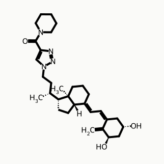 C=C1/C(=C\C=C2CCC[C@]3(C)[C@@H]([C@H](C)CCn4cc(C(=O)N5CCCCC5)nn4)CC[C@@H]23)C[C@H](O)C[C@H]1O